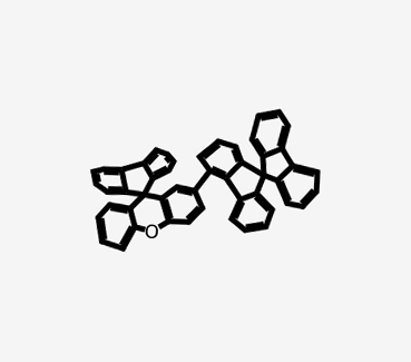 c1ccc2c(c1)Oc1ccc(-c3cccc4c3-c3ccccc3C43c4ccccc4-c4ccccc43)cc1C21c2ccccc2-c2ccccc21